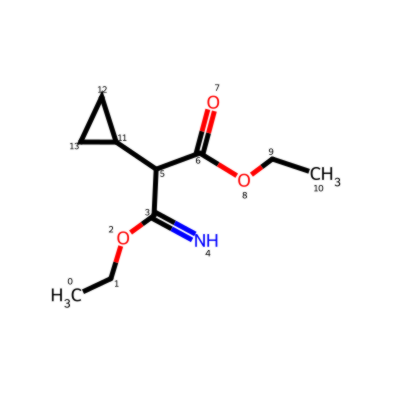 CCOC(=N)C(C(=O)OCC)C1CC1